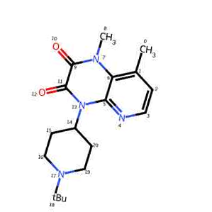 Cc1ccnc2c1n(C)c(=O)c(=O)n2C1CCN(C(C)(C)C)CC1